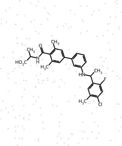 Cc1cc(C(C)Nc2cccc(-c3cc(C)c(C(=O)NC(C)C(=O)O)c(C)c3)c2)c(F)cc1Cl